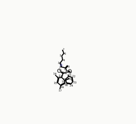 C=C(/C=C\CCCC)P(=O)(C(=O)C1C(C)=CC(C)=CC1C)C1C=CC=CC1